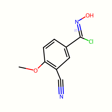 COc1ccc(/C(Cl)=N/O)cc1C#N